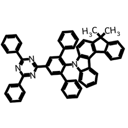 CC1(C)c2ccccc2-c2c1ccc1c2c2ccccc2n1-c1c(-c2ccccc2)cc(-c2nc(-c3ccccc3)nc(-c3ccccc3)n2)cc1-c1ccccc1